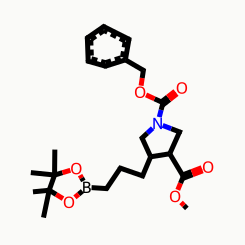 COC(=O)C1CN(C(=O)OCc2ccccc2)CC1CCCB1OC(C)(C)C(C)(C)O1